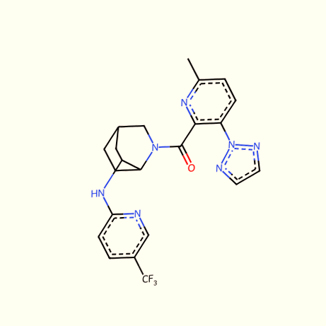 Cc1ccc(-n2nccn2)c(C(=O)N2CC3CCC2C(Nc2ccc(C(F)(F)F)cn2)C3)n1